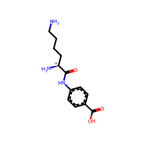 NCCCC[C@H](N)C(=O)Nc1ccc(C(=O)O)cc1